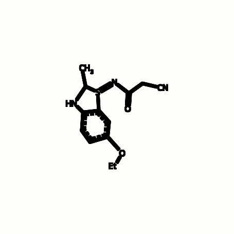 CCOc1ccc2c(c1)S(=NC(=O)CC#N)C(C)N2